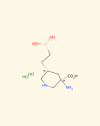 Cl.Cl.N[C@@]1(C(=O)O)CNC[C@H](CCB(O)O)C1